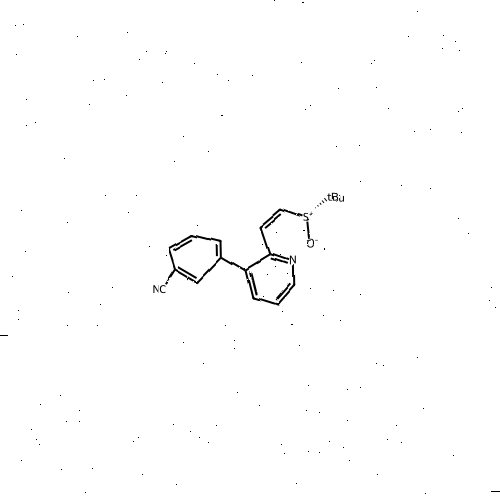 CC(C)(C)[S@+]([O-])/C=C\c1ncccc1-c1cccc(C#N)c1